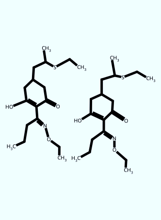 CCCC(=NOCC)C1=C(O)CC(CC(C)SCC)CC1=O.CCCC(=NOCC)C1=C(O)CC(CC(C)SCC)CC1=O